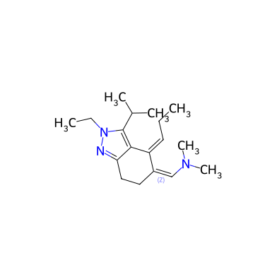 CCC=C1/C(=C\N(C)C)CCc2nn(CC)c(C(C)C)c21